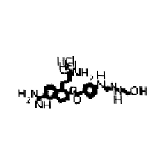 Cl.Cl.N=C(N)c1ccc2c(CCC(N)=O)c(OC(=O)c3ccc(N/C=N/NCCO)cc3)ccc2c1